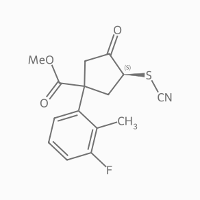 COC(=O)C1(c2cccc(F)c2C)CC(=O)[C@@H](SC#N)C1